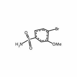 COc1cc(S(N)(=O)=O)ccc1Br